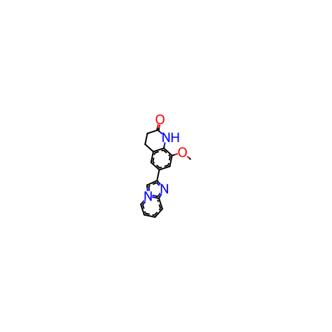 COc1cc(-c2cn3ccccc3n2)cc2c1NC(=O)CC2